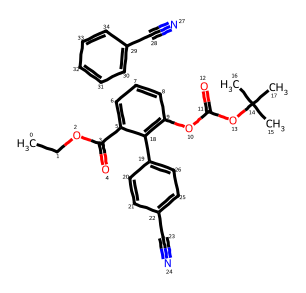 CCOC(=O)c1cccc(OC(=O)OC(C)(C)C)c1-c1ccc(C#N)cc1.N#Cc1ccccc1